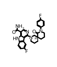 NC(=O)c1cnc(N2CCC[C@@]3(CCCN(c4ccc(F)cc4)C3=O)C2)c2c1[nH]c1ccc(F)cc12